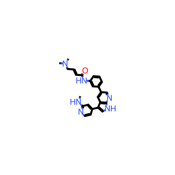 CNc1cc(-c2c[nH]c3ncc(-c4cccc(NC(=O)/C=C/CN(C)C)c4)cc23)ccn1